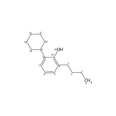 CCCCc1cccc(C2CCCCC2)c1O